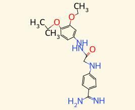 CCOc1cc(NNC(=O)CNc2ccc(C(=N)N)cc2)ccc1OC(C)C